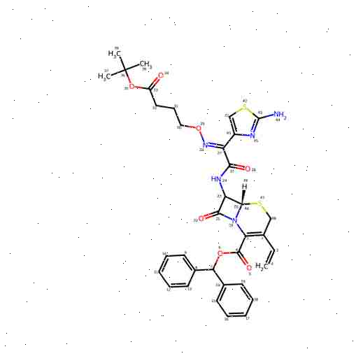 C=CC1=C(C(=O)OC(c2ccccc2)c2ccccc2)N2C(=O)C(NC(=O)C(=NOCCCC(=O)OC(C)(C)C)c3csc(N)n3)[C@@H]2SC1